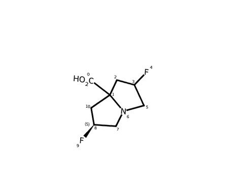 O=C(O)C12CC(F)CN1C[C@@H](F)C2